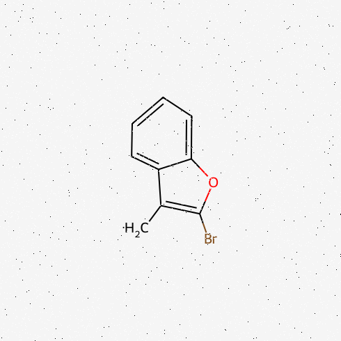 [CH2]c1c(Br)oc2ccccc12